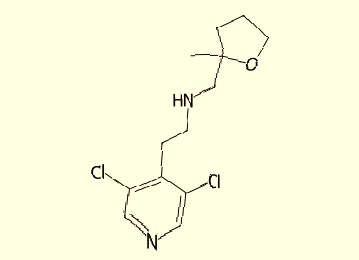 CC1(CNCCc2c(Cl)cncc2Cl)CCCO1